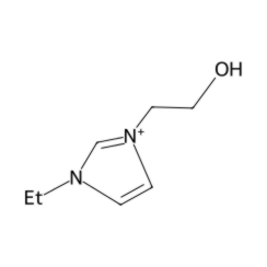 CCn1cc[n+](CCO)c1